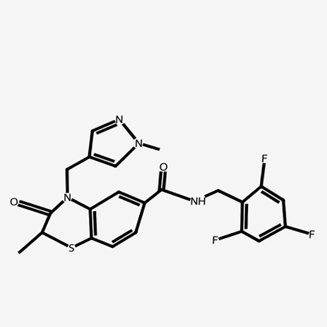 CC1Sc2ccc(C(=O)NCc3c(F)cc(F)cc3F)cc2N(Cc2cnn(C)c2)C1=O